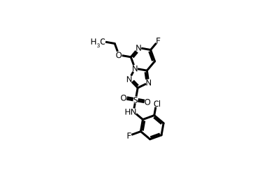 CCOc1nc(F)cc2nc(S(=O)(=O)Nc3c(F)cccc3Cl)nn12